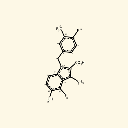 Cc1c(C(=O)O)n(Cc2ccc(F)c(C(F)(F)F)c2)c2ccc(O)c(F)c12